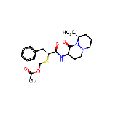 CC(C)(C)C(=O)OCS[C@@H](Cc1ccccc1)C(=O)NC1CCN2CCC[C@@H](C(=O)O)N2C1=O